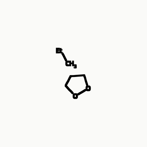 C1COOC1.CCC